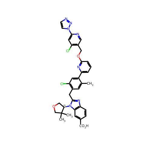 Cc1cc(Cc2nc3ccc(C(=O)O)cc3n2[C@@H]2COCC2(C)C)c(Cl)cc1-c1cccc(OCc2cnc(-n3ccnn3)cc2Cl)n1